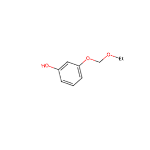 CCOCOc1cccc(O)c1